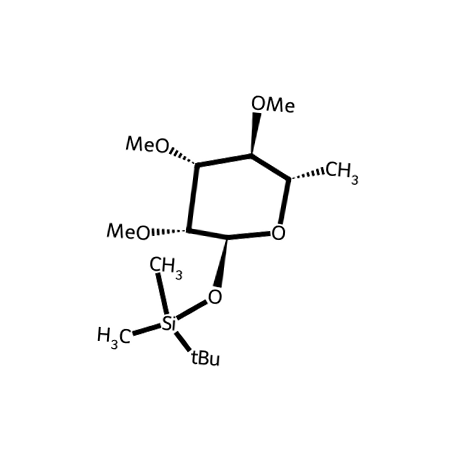 CO[C@@H]1[C@@H](OC)[C@H](C)O[C@@H](O[Si](C)(C)C(C)(C)C)[C@@H]1OC